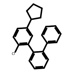 Clc1ccc(C2CCCC2)cc1-c1ccccc1-c1ccccc1